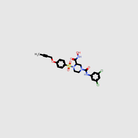 CC#CCOc1ccc(S(=O)(=O)N2CCN(C(=O)Nc3cc(Cl)cc(Cl)c3)CC2C(=O)NO)cc1